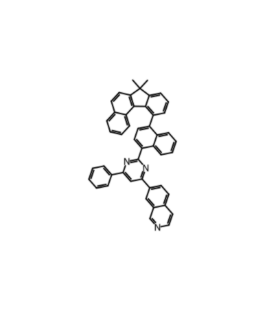 CC1(C)c2cccc(-c3ccc(-c4nc(-c5ccccc5)cc(-c5ccc6ccncc6c5)n4)c4ccccc34)c2-c2c1ccc1ccccc21